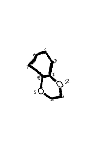 C1=C2OCCO[C]2CCC1